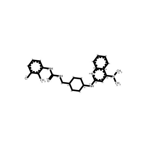 Cc1c(Cl)cccc1NC(=O)NCC1CCC(Nc2cc(N(C)C)c3ccccc3n2)CC1